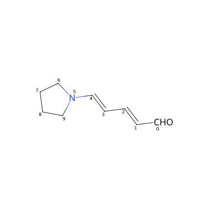 O=CC=CC=CN1CCCC1